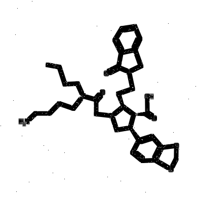 CCCCN(CCCCN)C(=O)CN1C[C@H](c2ccc3c(c2)OCO3)[C@@H](C(=O)O)[C@@H]1CCN1Cc2ccccc2C1=O